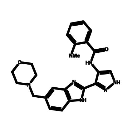 CNc1ccccc1C(=O)Nc1c[nH]nc1-c1nc2cc(CN3CCOCC3)ccc2[nH]1